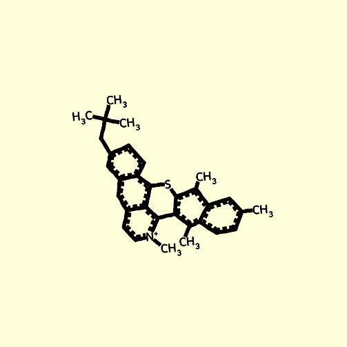 Cc1ccc2c(C)c3c(c(C)c2c1)Sc1c2ccc(CC(C)(C)C)cc2cc2cc[n+](C)c-3c12